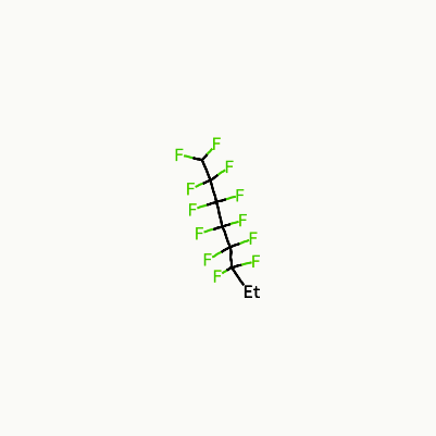 [CH2]CC(F)(F)C(F)(F)C(F)(F)C(F)(F)C(F)(F)C(F)F